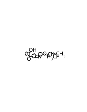 CC(C)(F)CN1CCC(COc2ccc(-c3ccc(C(=O)N4CCCC4CO)cc3F)nc2)CC1